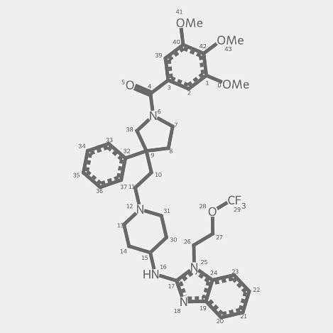 COc1cc(C(=O)N2CCC(CCN3CCC(Nc4nc5ccccc5n4CCOC(F)(F)F)CC3)(c3ccccc3)C2)cc(OC)c1OC